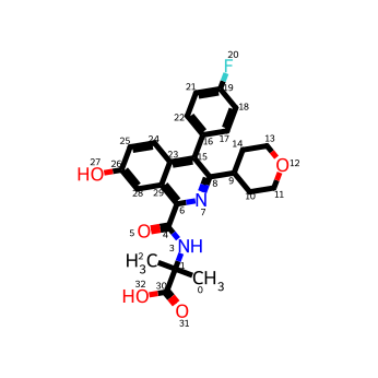 CC(C)(NC(=O)c1nc(C2CCOCC2)c(-c2ccc(F)cc2)c2ccc(O)cc12)C(=O)O